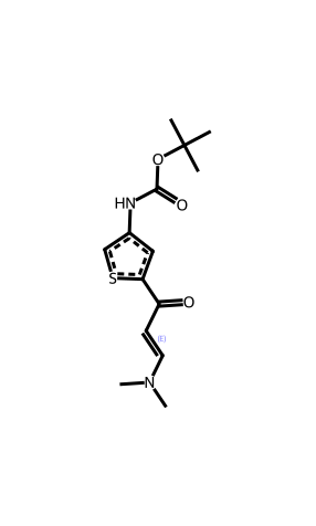 CN(C)/C=C/C(=O)c1cc(NC(=O)OC(C)(C)C)cs1